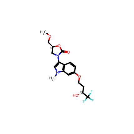 COC[C@@H]1CN(c2cn(C)c3cc(OCC[C@@H](O)C(F)(F)F)ccc23)C(=O)O1